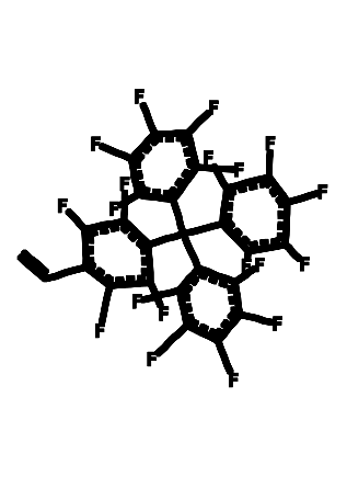 C=Cc1c(F)c(F)c(C(c2c(F)c(F)c(F)c(F)c2F)(c2c(F)c(F)c(F)c(F)c2F)c2c(F)c(F)c(F)c(F)c2F)c(F)c1F